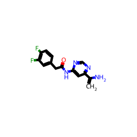 C=C(N)c1cc(NC(=O)Cc2ccc(F)c(F)c2)ncn1